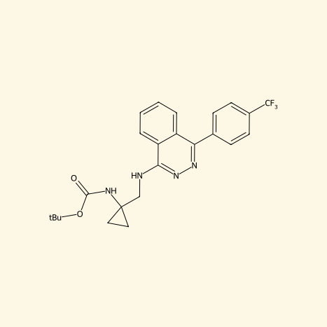 CC(C)(C)OC(=O)NC1(CNc2nnc(-c3ccc(C(F)(F)F)cc3)c3ccccc23)CC1